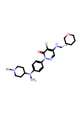 CC(=O)N1CCC(N(C)c2ccc(-n3ncc(NC[C@H]4CCCOC4)c(Cl)c3=O)cc2)CC1